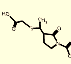 CC(SCC(=O)O)C1CCN(C(=O)O)C1=O